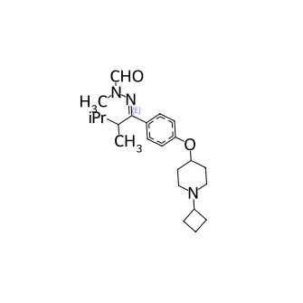 CC(C)C(C)/C(=N\N(C)C=O)c1ccc(OC2CCN(C3CCC3)CC2)cc1